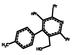 CCCc1c(C(C)C)nc(C(C)C)c(CO)c1-c1ccc(C)cc1